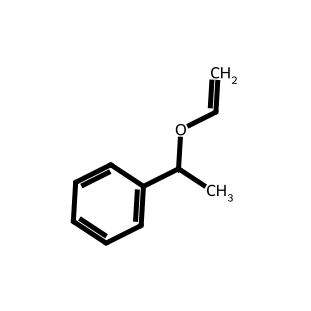 C=CO[C](C)c1ccccc1